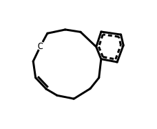 C1=CCCCCc2ccccc2CCCCC1